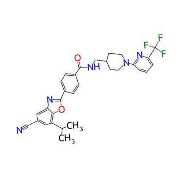 CC(C)c1cc(C#N)cc2nc(-c3ccc(C(=O)NCC4CCN(c5cccc(C(F)(F)F)n5)CC4)cc3)oc12